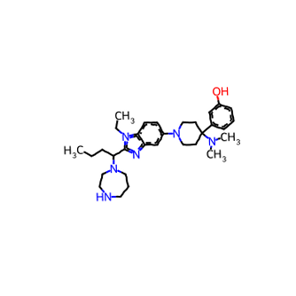 CCCC(c1nc2cc(N3CCC(c4cccc(O)c4)(N(C)C)CC3)ccc2n1CC)N1CCCNCC1